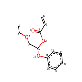 C=CC(=O)OC(COCC)Oc1ccccc1